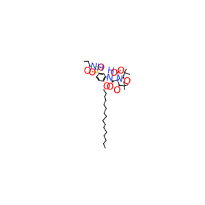 CCCCCCCCCCCCCCCCOc1ccc(S(=O)(=O)NC(=O)CC)cc1NC(=O)C(C(=O)C(C)(C)C)N1C(=O)OC(C)(C)C1=O